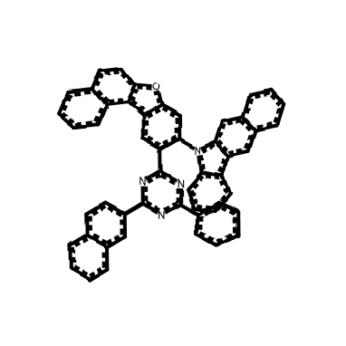 c1ccc(-c2nc(-c3ccc4ccccc4c3)nc(-c3cc4c(cc3-n3c5ccccc5c5cc6ccccc6cc53)oc3ccc5ccccc5c34)n2)cc1